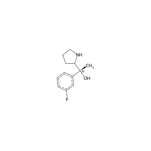 C[C@@](O)(c1cccc(F)c1)C1CCCN1